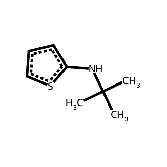 CC(C)(C)Nc1cccs1